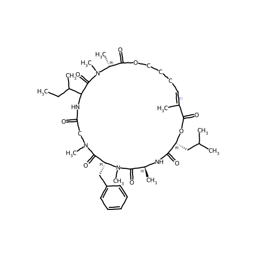 CCC(C)C1NC(=O)CN(C)C(=O)[C@@H](Cc2ccccc2)N(C)C(=O)[C@H](C)NC(=O)[C@@H](CC(C)C)OC(=O)/C(C)=C/CCCOC(=O)[C@@H](C)N(C)C1=O